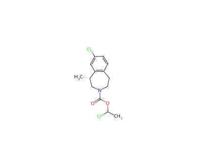 CC(Cl)OC(=O)N1CCc2ccc(Cl)cc2[C@@H](C)C1